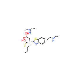 CCCCC(CC(=O)O)(C(O)=S)c1nc2ccccc2s1.CCNCC.CCNCC